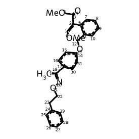 CO/C=C(/C(=O)OC)c1ccccc1COc1ccc(/C(C)=N/OCCc2ccccc2)cc1